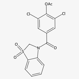 CC(=O)Oc1c(Cl)cc(C(=O)N2CS(=O)(=O)c3ccccc32)cc1Cl